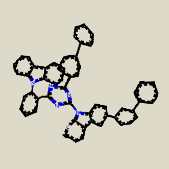 c1ccc(-c2ccc(-c3nc(-c4ccccc4-n4c5ccccc5c5ccccc54)nc(-n4c5ccccc5c5cc(-c6cccc(-c7ccccc7)c6)ccc54)n3)cc2)cc1